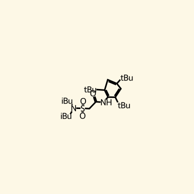 CCC(C)N(C(C)CC)S(=O)(=O)CC(=O)Nc1c(C(C)(C)C)cc(C(C)(C)C)cc1C(C)(C)C